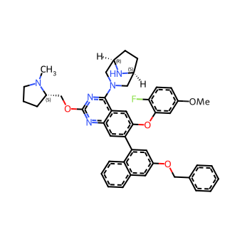 COc1ccc(F)c(Oc2cc3c(N4C[C@H]5CC[C@@H](C4)N5)nc(OC[C@@H]4CCCN4C)nc3cc2-c2cc(OCc3ccccc3)cc3ccccc23)c1